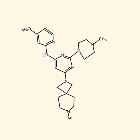 COc1ccnc(Nc2cc(N3CC4(CCN(C(C)=O)CC4)C3)nc(N3CCN(C)CC3)n2)c1